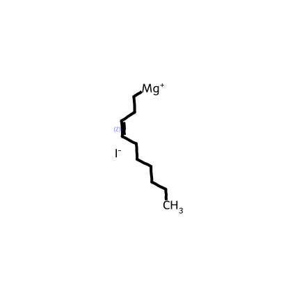 CCCCCC/C=C\C[CH2][Mg+].[I-]